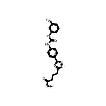 COC(=O)CCCc1nnc(-c2ccc(NC(=O)Nc3cccc(C(F)(F)F)c3)cc2)o1